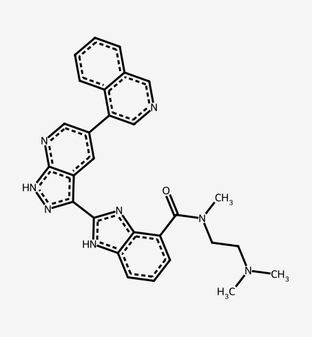 CN(C)CCN(C)C(=O)c1cccc2[nH]c(-c3n[nH]c4ncc(-c5cncc6ccccc56)cc34)nc12